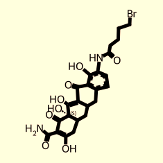 NC(=O)C1=C(O)CC2CC3Cc4ccc(NC(=O)CCCCBr)c(O)c4C(=O)C3=C(O)[C@]2(O)C1=O